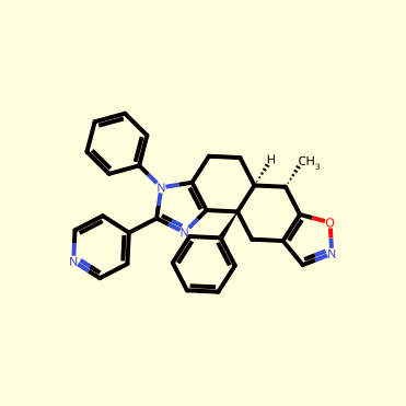 C[C@@H]1c2oncc2C[C@]2(c3ccccc3)c3nc(-c4ccncc4)n(-c4ccccc4)c3CC[C@@H]12